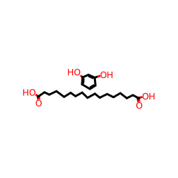 O=C(O)CCCCCCCCCCCCCCCC(=O)O.Oc1cccc(O)c1